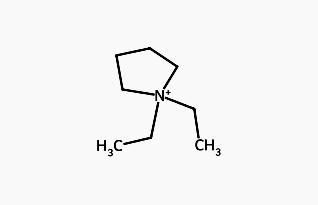 CC[N+]1(CC)CCCC1